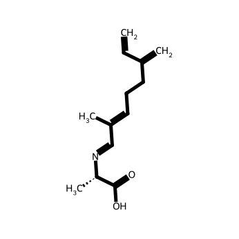 C=CC(=C)CC/C=C(C)/C=N/[C@@H](C)C(=O)O